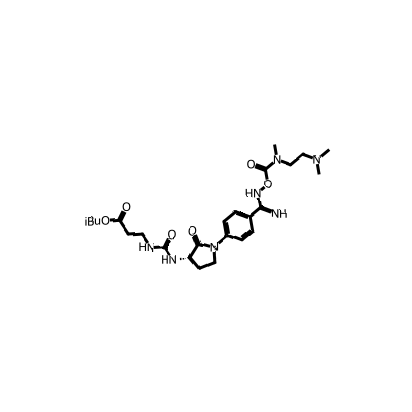 CC(C)COC(=O)CCNC(=O)N[C@H]1CCN(c2ccc(C(=N)NOC(=O)N(C)CCN(C)C)cc2)C1=O